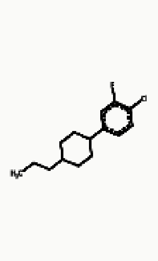 CCCC1CCC(c2ccc(Cl)c(F)c2)CC1